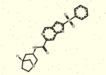 O=C(N[C@@H]1C[C@H]2CCN(C2)C1)c1cc2sc(S(=O)(=O)c3ccccc3)cc2cn1